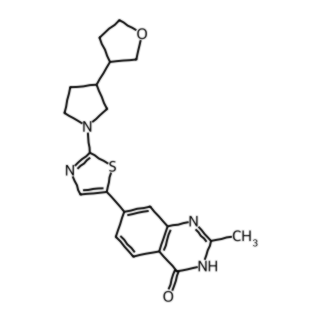 Cc1nc2cc(-c3cnc(N4CCC(C5CCOC5)C4)s3)ccc2c(=O)[nH]1